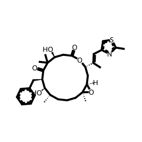 CC(=Cc1csc(C)n1)[C@@H]1C[C@H]2O[C@@]2(C)CCC[C@H](C)[C@H](O)[C@@H](Cc2ccccc2)C(=O)C(C)(C)[C@@H](O)CC(=O)O1